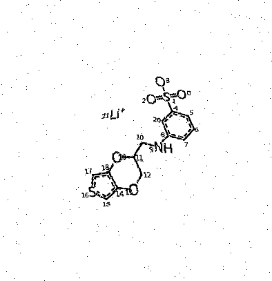 O=S(=O)([O-])c1cccc(NCC2COc3cscc3O2)c1.[Li+]